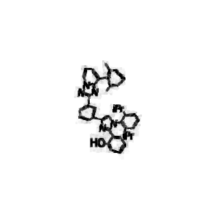 Cc1cccc(C)c1-c1cccn2nc(-c3cccc(-c4cn(-c5c(C(C)C)cccc5C(C)C)c(-c5ccccc5O)n4)c3)nc12